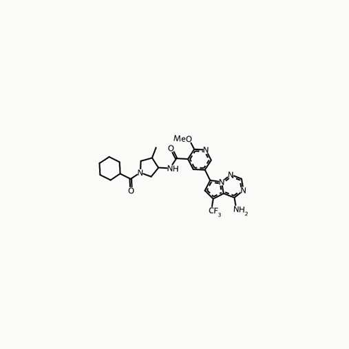 COc1ncc(-c2cc(C(F)(F)F)c3c(N)ncnn23)cc1C(=O)NC1CN(C(=O)C2CCCCC2)CC1C